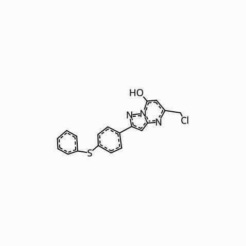 Oc1cc(CCl)nc2cc(-c3ccc(Sc4ccccc4)cc3)nn12